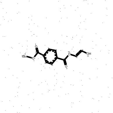 CC(C)(C)OC(=O)c1ccc(C(=O)OC=CO)cc1